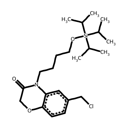 CC(C)[Si](OCCCCN1C(=O)COc2ccc(CCl)cc21)(C(C)C)C(C)C